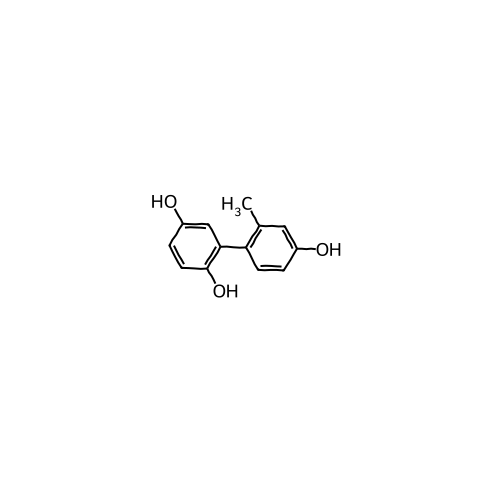 Cc1cc(O)ccc1-c1cc(O)ccc1O